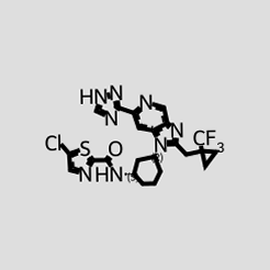 O=C(N[C@H]1CCC[C@@H](n2c(CC3(C(F)(F)F)CC3)nc3cnc(-c4nc[nH]n4)cc32)C1)c1ncc(Cl)s1